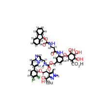 Cc1c(CCOc2c(-c3ccc4ncc(CN(C)C(=O)OCc5ccc(O[C@@H]6C[C@H](C(=O)O)[C@@H](O)[C@H](O)[C@H]6O)c(NC(=O)CCNC(=O)OC6c7ccccc7-c7ccccc76)c5)n4c3)ccc(F)c2F)c(C(O)C(C)(C)C)nn1C